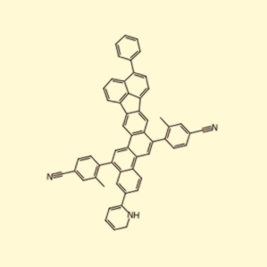 Cc1cc(C#N)ccc1-c1cc2c3cc4c(cc3c(-c3ccc(C#N)cc3C)cc2c2ccc(C3=CC=CCN3)cc12)-c1ccc(-c2ccccc2)c2cccc-4c12